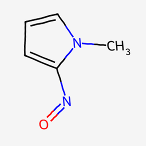 Cn1cccc1N=O